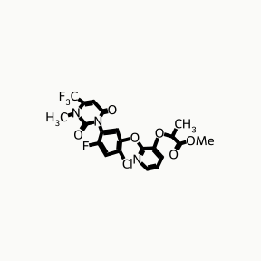 COC(=O)C(C)Oc1cccnc1Oc1cc(-n2c(=O)cc(C(F)(F)F)n(C)c2=O)c(F)cc1Cl